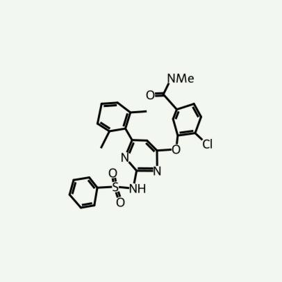 CNC(=O)c1ccc(Cl)c(Oc2cc(-c3c(C)cccc3C)nc(NS(=O)(=O)c3ccccc3)n2)c1